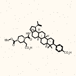 C=C(C)[C@@H]1CC[C@]2(NC(=O)N3CCN(C(=O)OC(C)(C)C)CC3CC(=O)O)CC[C@]3(C)[C@H](CC[C@@H]4[C@@]5(C)CC=C(c6ccc(C(=O)O)cc6)C(C)(C)[C@@H]5CC[C@]43C)[C@@H]12